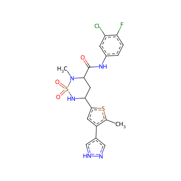 Cc1sc(C2CC(C(=O)Nc3ccc(F)c(Cl)c3)N(C)S(=O)(=O)N2)cc1-c1cn[nH]c1